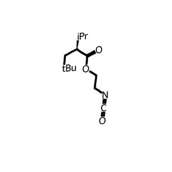 CC(C)[C@H](CC(C)(C)C)C(=O)OCCN=C=O